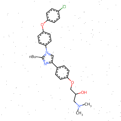 CCCCc1nc(-c2ccc(OCC(O)CN(C)C)cc2)cn1-c1ccc(Oc2ccc(Cl)cc2)cc1